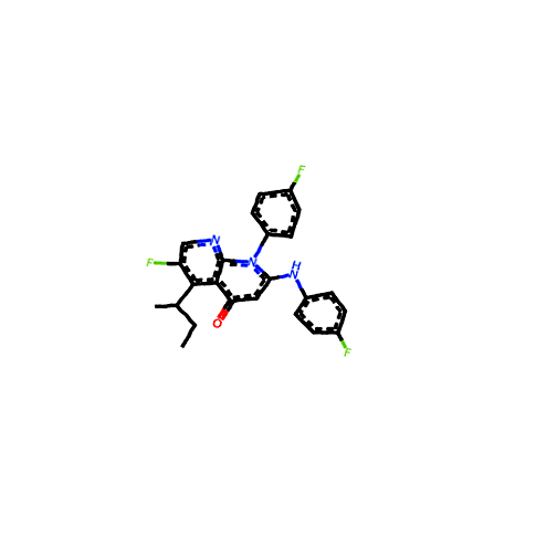 CCC(C)c1c(F)cnc2c1c(=O)cc(Nc1ccc(F)cc1)n2-c1ccc(F)cc1